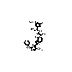 COc1cc(F)cc([C@@H](CO)NC(=O)[C@@H](C)N2CCc3sc(-c4nc(NC5CCOCC5)ncc4C)cc3C2=O)c1